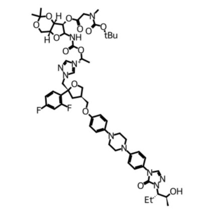 CC[C@@H]([C@H](C)O)n1ncn(-c2ccc(N3CCN(c4ccc(OC[C@@H]5CO[C@@](Cn6c[n+](C(C)OC(=O)NC7O[C@@H]8COC(C)(C)O[C@@H]8[C@H]7OC(=O)CN(C)C(=O)OC(C)(C)C)cn6)(c6ccc(F)cc6F)C5)cc4)CC3)cc2)c1=O